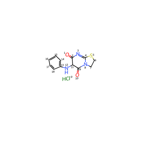 Cl.O=C1N=C2SCCN2C(=O)C1Nc1ccccc1